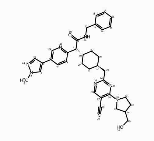 Cn1cc(-c2ccc(C(C(=O)NCc3ccccc3)[C@H]3CC[C@H](Cc4ncc(C#N)c(N5CCC(CO)C5)n4)CC3)nc2)cn1